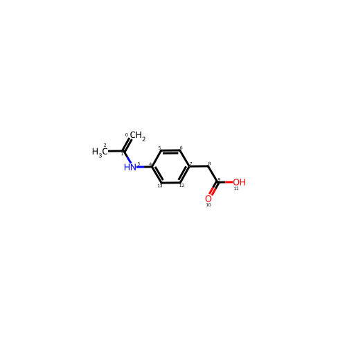 C=C(C)Nc1ccc(CC(=O)O)cc1